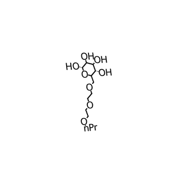 CCCOCCOCCOCC1O[C@H](O)C(O)[C@@H](O)[C@@H]1O